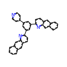 c1ccc2cc3nc(-c4cc(-c5ccncc5)cc(-c5ccc6cc7ccccc7cc6n5)c4)ccc3cc2c1